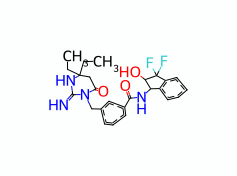 CCC1(CC)CC(=O)N(Cc2cccc(C(=O)NC3c4ccccc4C(F)(F)C3O)c2)C(=N)N1